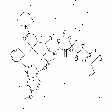 C=CCC1(S(=O)(=O)NC(=O)[C@@]2(NC(=O)[C@@H]3C[C@@H](Oc4cc(-c5ccccc5)nc5cc(OC)ccc45)CN3C(=O)C(CC(=O)N3CCCCC3)C(C)(C)C)C[C@H]2C=C)CC1